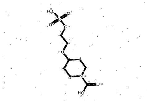 CS(=O)(=O)OCCOC1CCN(C(=O)O)CC1